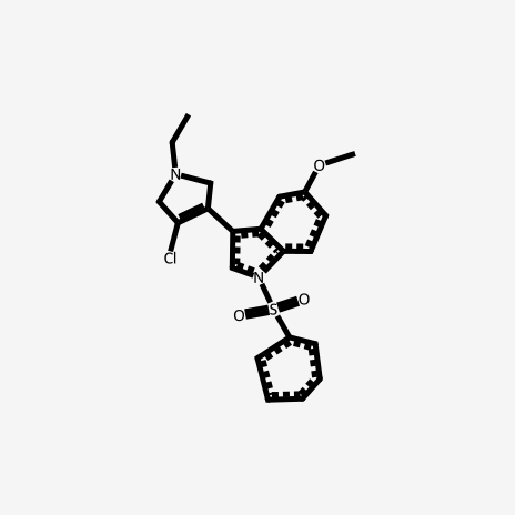 CCN1CC(Cl)=C(c2cn(S(=O)(=O)c3ccccc3)c3ccc(OC)cc23)C1